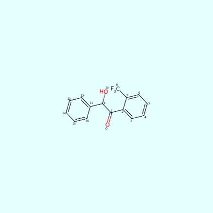 O=C(c1ccccc1C(F)(F)F)C(O)c1ccccc1